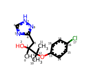 CC(O)(Cc1nc[nH]n1)C(C)(C)Oc1ccc(Cl)cc1